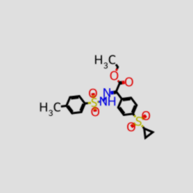 CCOC(=O)/C(=N/NS(=O)(=O)c1ccc(C)cc1)c1ccc(S(=O)(=O)C2CC2)cc1